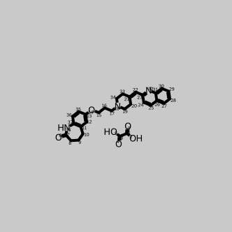 O=C(O)C(=O)O.O=C1CCCc2cc(OCCCN3CCC(=Cc4ccc5ccccc5n4)CC3)ccc2N1